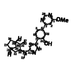 COc1cc(-c2ccc(-c3nnc(N(C)[C@H]4C[C@@H]5CC[C@@H](C5)[C@H]4F)s3)c(O)c2)ncn1